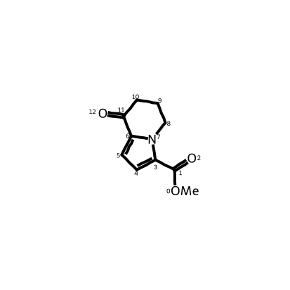 COC(=O)c1ccc2n1CCCC2=O